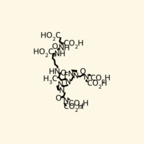 CC(CC(F)N(Cc1nccn1CC(=O)N(CC(=O)O)CC(=O)O)Cc1nccn1CC(=O)N(CC(=O)O)CC(=O)O)C(=O)NCCCC[C@H](NC(=O)N[C@@H](CCC(=O)O)C(=O)O)C(=O)O